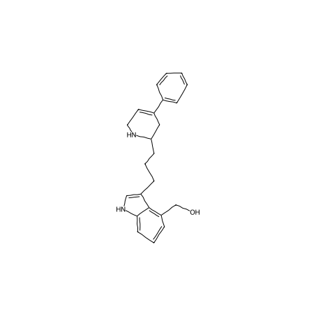 OCc1cccc2[nH]cc(CCCC3CC(c4ccccc4)=CCN3)c12